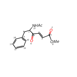 COC(=O)C=CC(=O)C(Cc1ccccc1)NC(C)=O